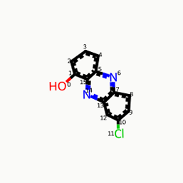 Oc1cccc2nc3ccc(Cl)cc3nc12